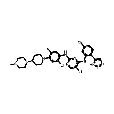 Cc1cc(Nc2ncc(Cl)c(Nc3cc(Cl)ccc3-c3cnn[nH]3)n2)c(Cl)cc1N1CCC(N2CCN(C)CC2)CC1